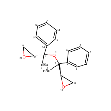 CCCCC(OC(CCCC)(c1ccccc1)[C@H]1CO1)(c1ccccc1)[C@H]1CO1